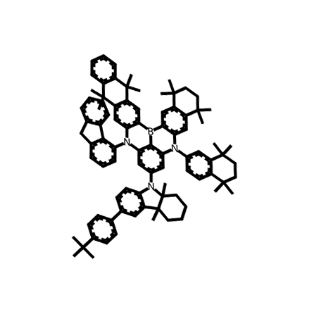 CC(C)(C)c1ccc(-c2ccc3c(c2)C2(C)CCCCC2(C)N3c2cc3c4c(c2)N(c2cccc5c2-c2ccccc2C5)c2cc5c(cc2B4c2cc4c(cc2N3c2ccc3c(c2)C(C)(C)CCC3(C)C)C(C)(C)CCC4(C)C)C(C)(C)c2ccccc2C5(C)C)cc1